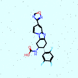 O=C(O)N[C@H]1Cc2c(nc3cc(-c4ncon4)ccn23)C[C@@H]1c1cc(F)c(F)cc1F